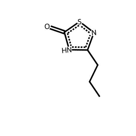 CCCc1nsc(=O)[nH]1